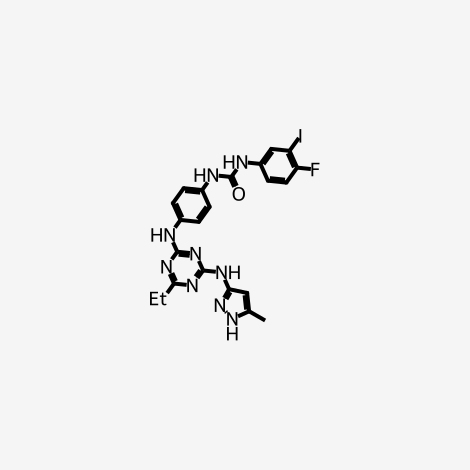 CCc1nc(Nc2ccc(NC(=O)Nc3ccc(F)c(I)c3)cc2)nc(Nc2cc(C)[nH]n2)n1